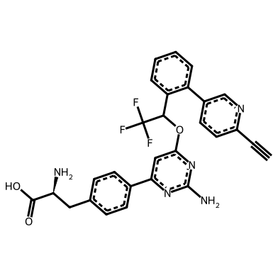 C#Cc1ccc(-c2ccccc2C(Oc2cc(-c3ccc(C[C@H](N)C(=O)O)cc3)nc(N)n2)C(F)(F)F)cn1